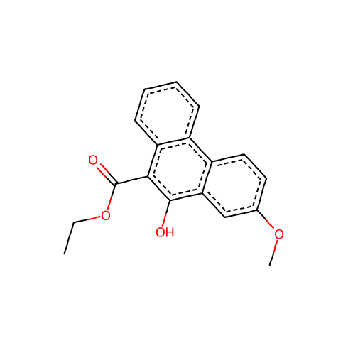 CCOC(=O)c1c(O)c2cc(OC)ccc2c2ccccc12